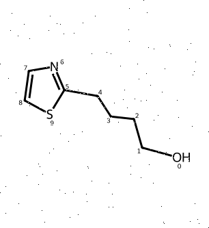 OCCCCc1nccs1